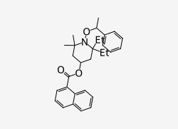 CCC1(CC)CC(OC(=O)c2cccc3ccccc23)CC(C)(C)N1OC(C)c1ccccc1